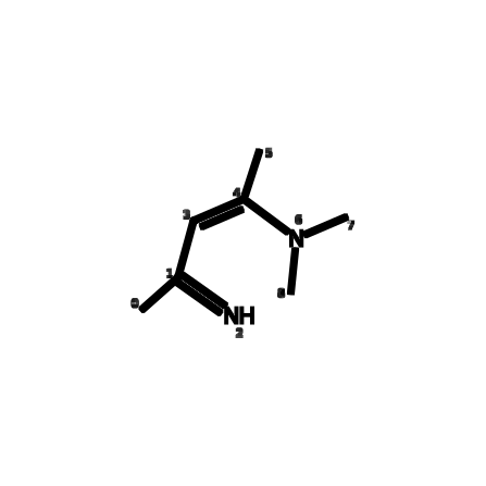 CC(=N)/C=C(/C)N(C)C